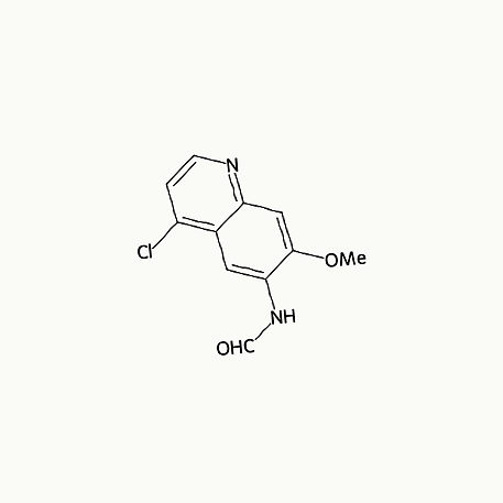 COc1cc2nccc(Cl)c2cc1NC=O